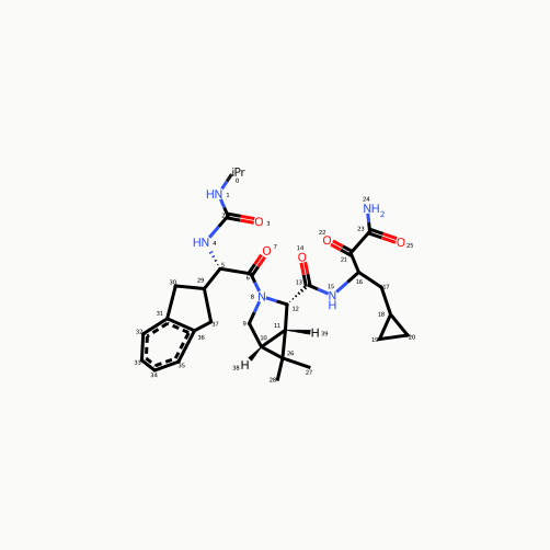 CC(C)NC(=O)N[C@H](C(=O)N1C[C@@H]2[C@H]([C@H]1C(=O)NC(CC1CC1)C(=O)C(N)=O)C2(C)C)C1Cc2ccccc2C1